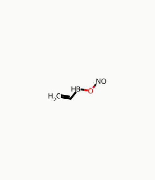 C=CBON=O